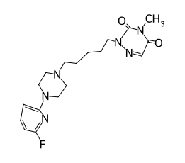 Cn1c(=O)cnn(CCCCCN2CCN(c3cccc(F)n3)CC2)c1=O